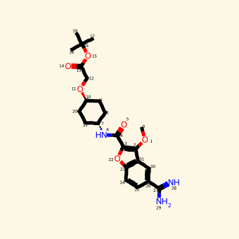 COc1c(C(=O)N[C@H]2CC[C@H](OCC(=O)OC(C)(C)C)CC2)oc2ccc(C(=N)N)cc12